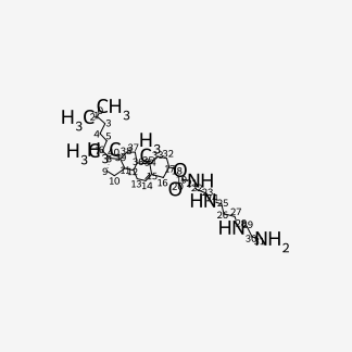 CC(C)CCC[C@@H](C)[C@H]1CCC2C3CC=C4CC(OC(=O)NCCNCCCNCCN)CC[C@]4(C)C3CC[C@@]21C